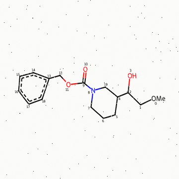 COCC(O)C1CCCN(C(=O)OCc2ccccc2)C1